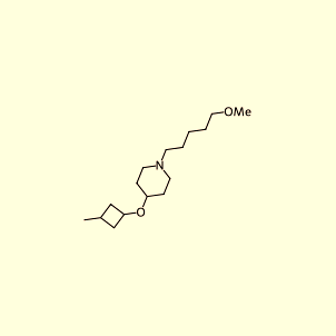 COCCCCCN1CCC(OC2CC(C)C2)CC1